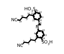 N#CCCCCc1cc(N=Nc2ccc(S(=O)(=O)O)c(CCCCC#N)c2)ccc1S(=O)(=O)O